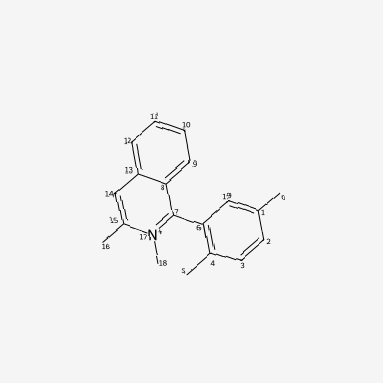 Cc1ccc(C)c(-c2c3ccccc3cc(C)[n+]2C)c1